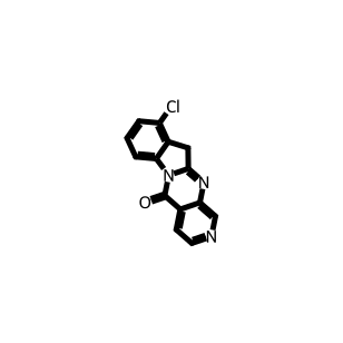 O=c1c2ccncc2nc2n1-c1cccc(Cl)c1C2